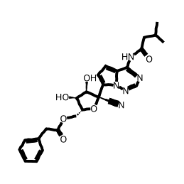 CC(C)CC(=O)Nc1ncnn2c([C@]3(C#N)O[C@H](COC(=O)Cc4ccccc4)[C@@H](O)[C@H]3O)ccc12